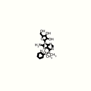 CN(c1ncnc2c1nc(N)n2C1OC(CO)C(O)C1O)[Si](C)(C)c1ccccc1